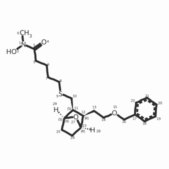 CN(O)C(=O)CCCCSC[C@H]1[C@@H](CCOCc2ccccc2)[C@H]2CC[C@@H]1O2